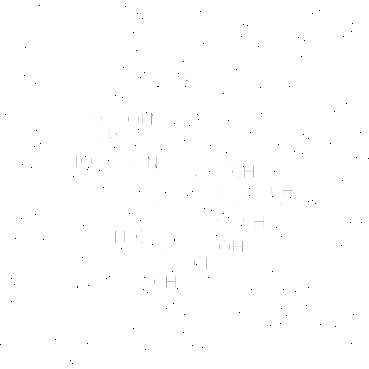 CC(C)(C)c1cc(N(CP(=O)(O)O)c2ccccc2)cc(C(C)(C)C)c1O